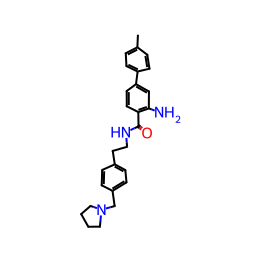 Cc1ccc(-c2ccc(C(=O)NCCc3ccc(CN4CCCC4)cc3)c(N)c2)cc1